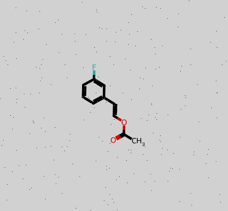 CC(=O)OC=Cc1cccc(F)c1